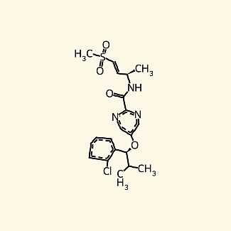 CC(C)[C@H](Oc1cnc(C(=O)N[C@H](C)/C=C/S(C)(=O)=O)nc1)c1ccccc1Cl